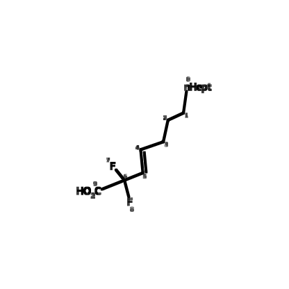 CCCCCCCCCCC=CC(F)(F)C(=O)O